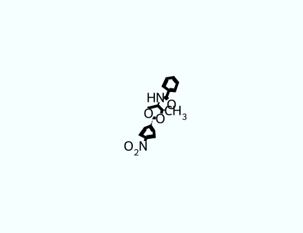 C[C@@H]1O[C@H](c2ccc([N+](=O)[O-])cc2)OC[C@H]1NC(=O)c1ccccc1